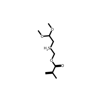 C=C(C)C(=O)OC[SiH2]CC(OC)OC